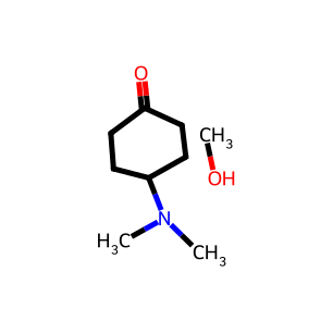 CN(C)C1CCC(=O)CC1.CO